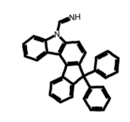 N=Cn1c2ccccc2c2c3c(ccc21)C(c1ccccc1)(c1ccccc1)c1ccccc1-3